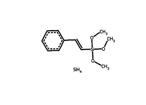 CO[Si](C=Cc1ccccc1)(OC)OC.[SiH4]